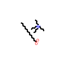 CCCCCCCCCCCCCC(=O)[O-].CCCC[N+](CCCC)(CCCC)CCCC